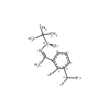 C/C(=N/[S@+]([O-])C(C)(C)C)c1cccc(C(F)F)c1F